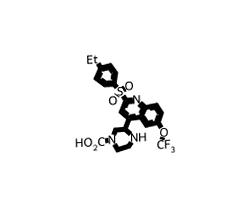 CCc1ccc(S(=O)(=O)c2cc(C3CN(C(=O)O)CCN3)c3cc(OC(F)(F)F)ccc3n2)cc1